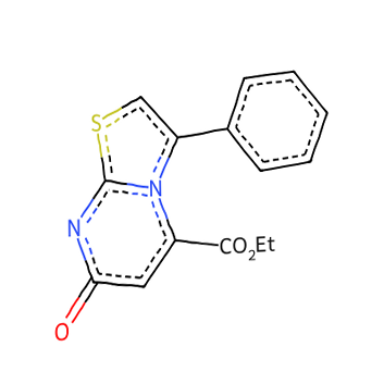 CCOC(=O)c1cc(=O)nc2scc(-c3ccccc3)n12